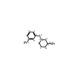 CC(C)c1cccc(SN2CCCC(C(C)C)C2)c1